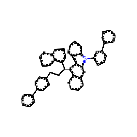 c1ccc(-c2ccc(CCC(c3cccc4ccccc34)c3c4ccccc4cc4c3c3ccccc3n4-c3cccc(-c4ccccc4)c3)cc2)cc1